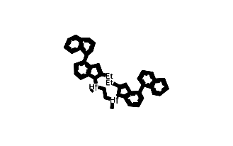 CCC1=Cc2c(-c3cccc4ccccc34)cccc2[CH]1[Hf]([CH3])[CH2][CH2][Hf]([CH3])[CH]1C(CC)=Cc2c(-c3cccc4ccccc34)cccc21